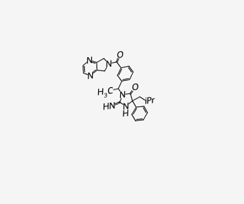 CC(C)CC1(c2ccccc2)NC(=N)N(C(C)c2cccc(C(=O)N3Cc4nccnc4C3)c2)C1=O